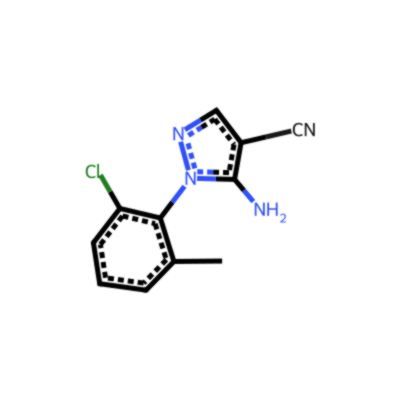 Cc1cccc(Cl)c1-n1ncc(C#N)c1N